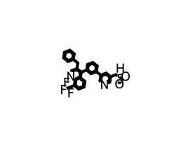 O=[SH](=O)Cc1cncc(-c2cccc(-c3c(Cc4ccccc4)cnc4c(C(F)(F)F)cccc34)c2)c1